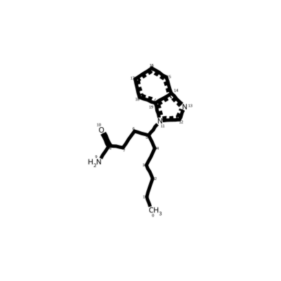 CCCCCC(CCC(N)=O)n1cnc2ccccc21